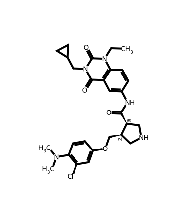 CCn1c(=O)n(CC2CC2)c(=O)c2cc(NC(=O)[C@H]3CNC[C@H]3COc3ccc(N(C)C)c(Cl)c3)ccc21